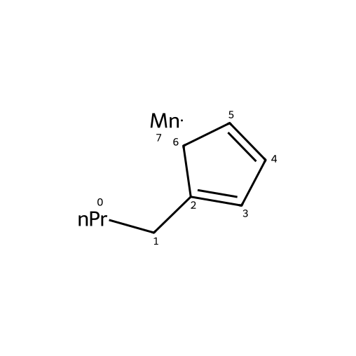 CCCCC1=CC=CC1.[Mn]